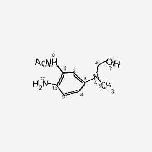 CC(=O)Nc1cc(N(C)CO)ccc1N